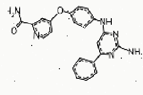 NC(=O)c1cc(Oc2ccc(Nc3cc(-c4ccccc4)nc(N)n3)cc2)ccn1